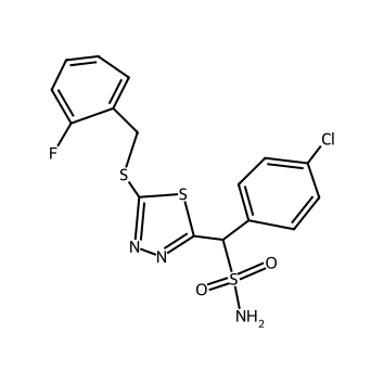 NS(=O)(=O)C(c1ccc(Cl)cc1)c1nnc(SCc2ccccc2F)s1